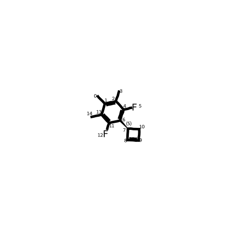 Cc1c(C)c(F)c([C@@H]2C=CC2)c(F)c1C